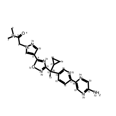 CN(C)C(=O)Cn1cc(-c2nc([C@@](C)(c3ccc(-c4cnc(N)cn4)nc3)C3CC3)no2)cn1